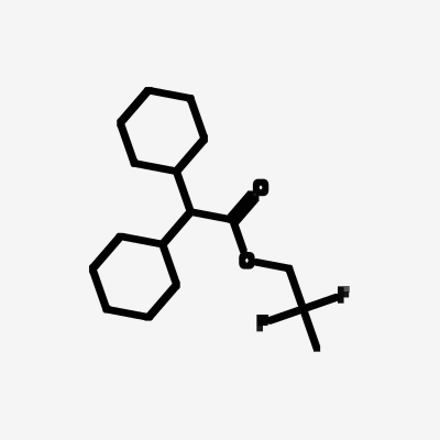 CC(F)(F)COC(=O)C(C1CCCCC1)C1CCCCC1